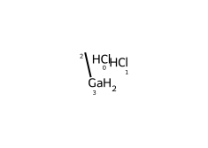 Cl.Cl.[CH3][GaH2]